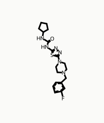 O=C(Nc1nnc(N2CCN(Cc3cccc(F)c3)CC2)s1)NC1CCCC1